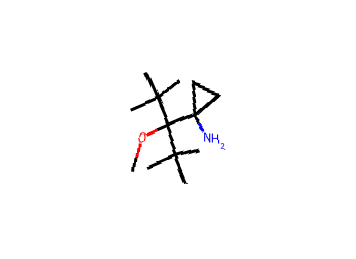 COC(C(C)(C)C)(C(C)(C)C)C1(N)CC1